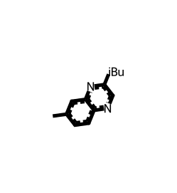 CCC(C)c1cnc2ccc(C)cc2n1